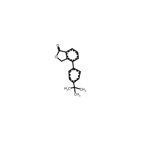 CC(C)(C)c1ccc(-c2cccc3c2COC3=O)cc1